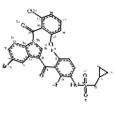 O=C(c1c(F)ccc(NS(=O)(=O)CC2CC2)c1F)c1cn(C(=O)c2c(Cl)cccc2Cl)c2ncc(Br)cc12